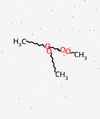 CCCCCCCCCOC(CCC=COCOCCC)OCCCCCCCCC